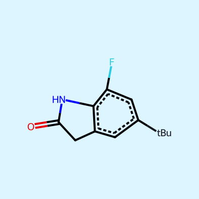 CC(C)(C)c1cc(F)c2c(c1)CC(=O)N2